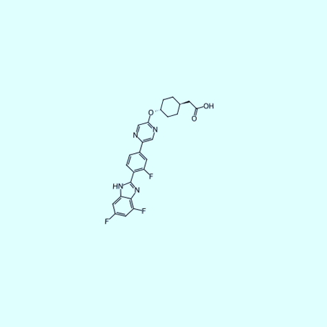 O=C(O)C[C@H]1CC[C@H](Oc2cnc(-c3ccc(-c4nc5c(F)cc(F)cc5[nH]4)c(F)c3)cn2)CC1